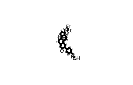 CCOC[C@]1(OCC)CC[C@H]2[C@@H]3CCC4=CC(=O)C(c5ccc(C=NO)cc5)CC4=C3CC[C@@]21C